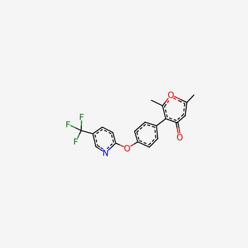 Cc1cc(=O)c(-c2ccc(Oc3ccc(C(F)(F)F)cn3)cc2)c(C)o1